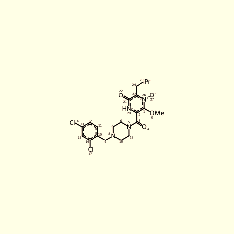 COc1c(C(=O)N2CCN(Cc3ccc(Cl)cc3Cl)CC2)[nH]c(=O)c(CC(C)C)[n+]1[O-]